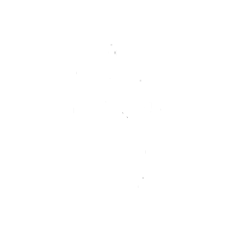 CC(N(C)CCO)S(=O)(=O)O